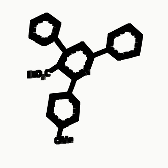 CCOC(=O)c1c(-c2ccccc2)cc(-c2ccccc2)nc1-c1ccc(OC)cc1